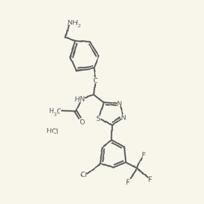 CC(=O)NC(Cc1ccc(CN)cc1)c1nnc(-c2cc(Cl)cc(C(F)(F)F)c2)s1.Cl